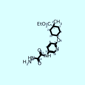 CCOC(=O)[C@]1(C)CC[C@@H](Oc2ccc(NC(=O)C(=O)NN)cn2)CC1